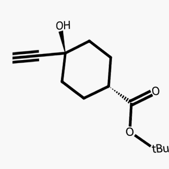 C#C[C@]1(O)CC[C@H](C(=O)OC(C)(C)C)CC1